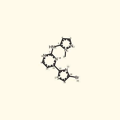 Cn1nccc1Nc1nccc(-c2nc(Br)cs2)n1